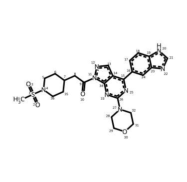 CS(=O)(=O)N1CCC(CC(=O)n2ncc3c(-c4ccc5[nH]cnc5c4)nc(N4CCOCC4)nc32)CC1